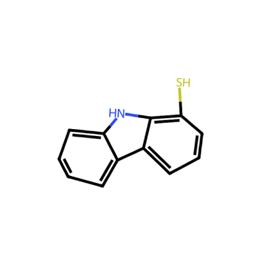 Sc1cccc2c1[nH]c1ccccc12